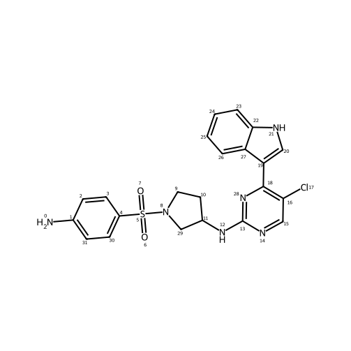 Nc1ccc(S(=O)(=O)N2CCC(Nc3ncc(Cl)c(-c4c[nH]c5ccccc45)n3)C2)cc1